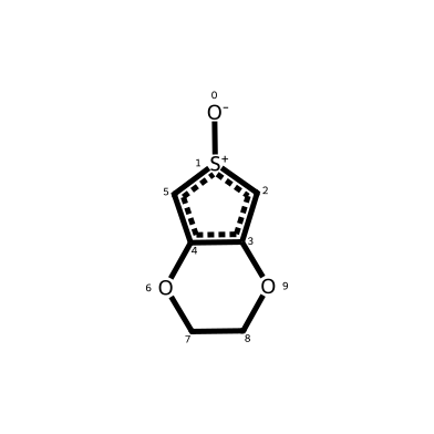 [O-][s+]1cc2c(c1)OCCO2